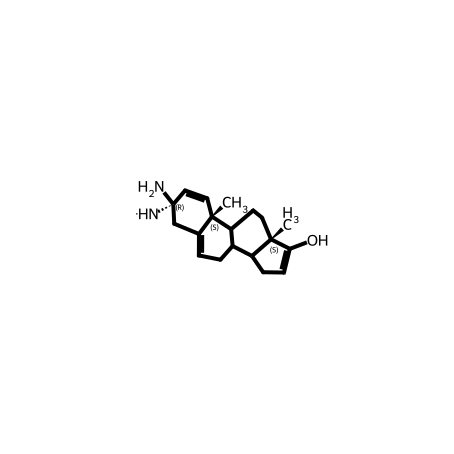 C[C@]12C=C[C@]([NH])(N)CC1=CCC1C2CC[C@]2(C)C(O)=CCC12